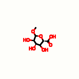 COC1O[C@H](C(=O)O)[C@@H](O)[C@H](O)[C@H]1O